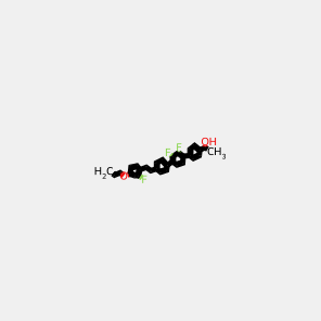 C=CCOc1ccc(CCc2ccc(-c3ccc(-c4ccc(C(C)O)cc4)c(F)c3F)cc2)c(F)c1